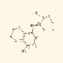 O[C@@H]1CCCC[C@H]1Nc1nnc(Cl)c2c1CCCC2